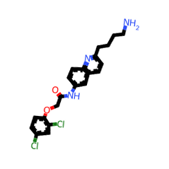 NCCCCc1ccc2cc(NC(=O)COc3ccc(Cl)cc3Cl)ccc2n1